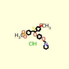 COc1ccc2c(Oc3ccc(OCCN4CCCCC4)cc3)c(C3=CCC(S(C)(=O)=O)CC3)sc2c1.Cl